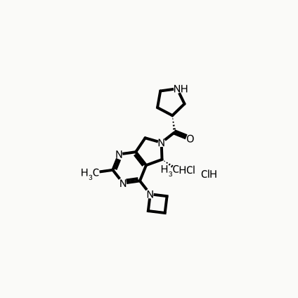 Cc1nc2c(c(N3CCC3)n1)[C@@H](C)N(C(=O)[C@@H]1CCNC1)C2.Cl.Cl